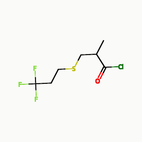 CC(CSCCC(F)(F)F)C(=O)Cl